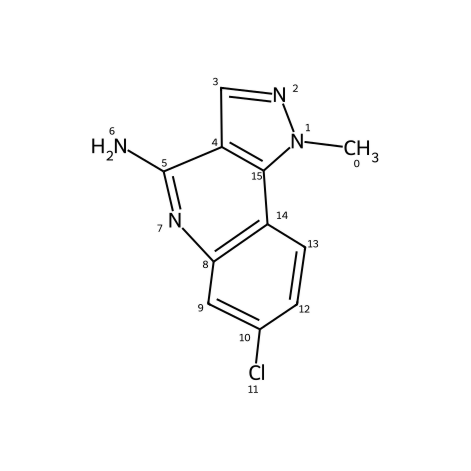 Cn1ncc2c(N)nc3cc(Cl)ccc3c21